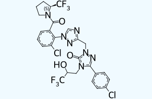 O=C(c1cccc(Cl)c1-n1cnc(Cn2nc(-c3ccc(Cl)cc3)n(CC(O)C(F)(F)F)c2=O)n1)N1CCC[C@H]1C(F)(F)F